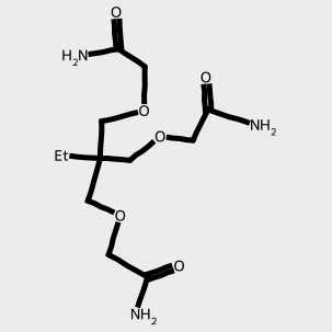 CCC(COCC(N)=O)(COCC(N)=O)COCC(N)=O